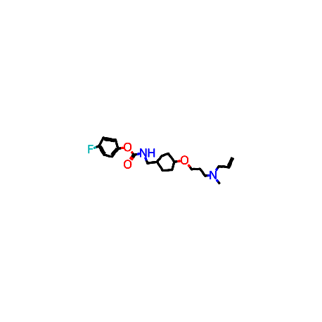 C=CCN(C)CCCOC1CCC(CNC(=O)Oc2ccc(F)cc2)CC1